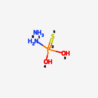 N.NP(O)(O)=S